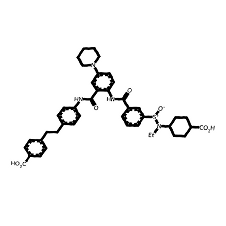 CCN(C1CCC(C(=O)O)CC1)[S+]([O-])c1cccc(C(=O)Nc2ccc(N3CCCCC3)cc2C(=O)Nc2ccc(CCc3ccc(C(=O)O)cc3)cc2)c1